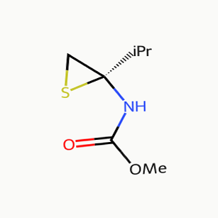 COC(=O)N[C@]1(C(C)C)CS1